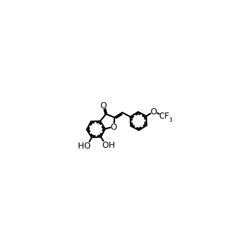 O=C1C(=Cc2cccc(OC(F)(F)F)c2)Oc2c1ccc(O)c2O